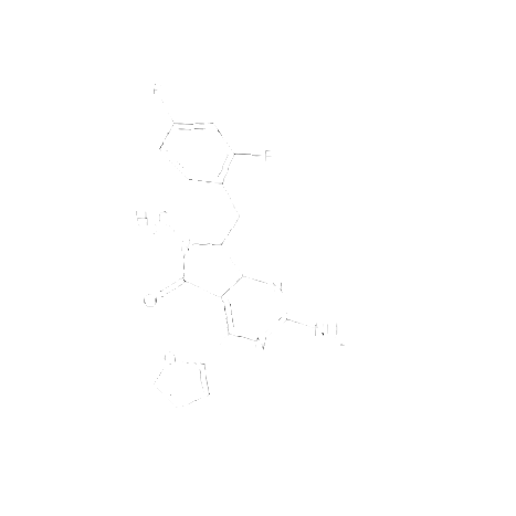 CN1C(=O)c2c(-c3ccco3)nc(N)nc2C1Cc1ccc(F)cc1F